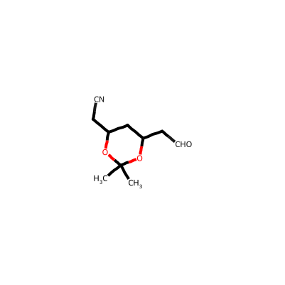 CC1(C)OC(CC#N)CC(CC=O)O1